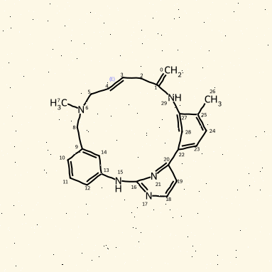 C=C1C/C=C/CN(C)Cc2cccc(c2)Nc2nccc(n2)-c2ccc(C)c(c2)N1